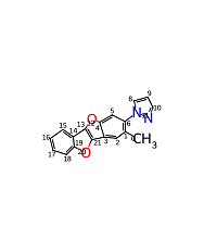 Cc1cc2c(cc1-n1cccn1)oc1c3ccccc3oc21